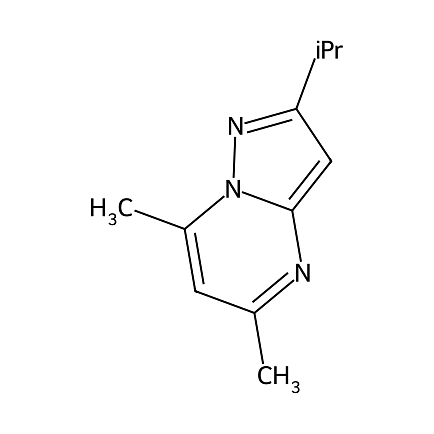 Cc1cc(C)n2nc(C(C)C)cc2n1